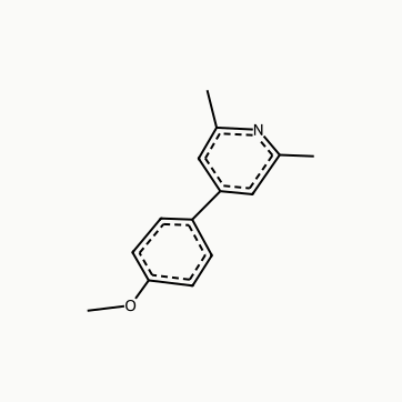 COc1ccc(-c2cc(C)nc(C)c2)cc1